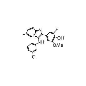 COc1cc(-c2nc3ccc(C)cn3c2Nc2cccc(Cl)c2)cc(F)c1O